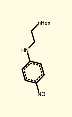 CCCCCCCCNc1ccc(N=O)cc1